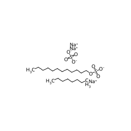 CCCCCCCC.CCCCCCCCCCCCOS(=O)(=O)[O-].O=S(=O)([O-])[O-].[Na+].[Na+].[Na+]